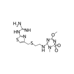 COC1=NS(=O)(=O)N(C)C(NCCSCc2csc(NC(=N)N)n2)=N1